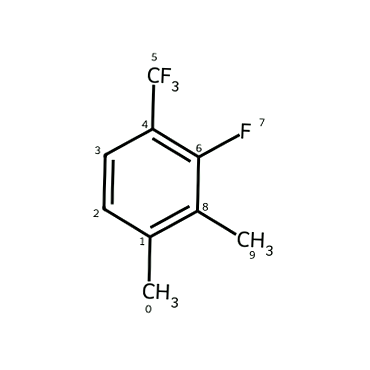 Cc1ccc(C(F)(F)F)c(F)c1C